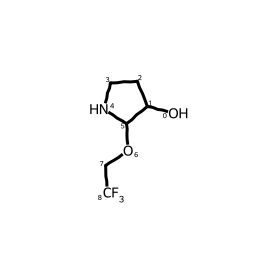 OC1CCNC1OCC(F)(F)F